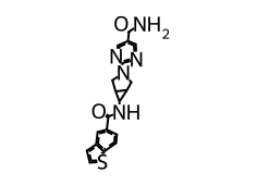 NC(=O)c1cnc(N2CC3C(C2)C3NC(=O)c2ccc3sccc3c2)nc1